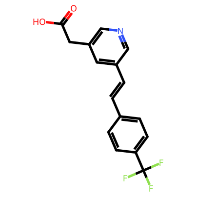 O=C(O)Cc1cncc(C=Cc2ccc(C(F)(F)F)cc2)c1